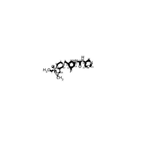 CCS(=O)(=O)N1CCN(Cc2cc(F)cc(NC(=O)Nc3cccnc3)c2)C[C@H]1COC